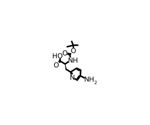 CC(C)(C)OC(=O)N[C@@H](Cc1ccc(N)cn1)C(=O)O